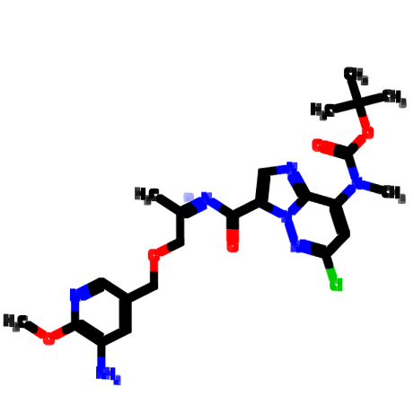 COc1ncc(COC/C(C)=N\C(=O)c2cnc3c(N(C)C(=O)OC(C)(C)C)cc(Cl)nn23)cc1N